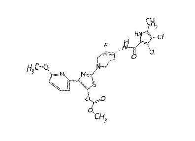 COC(=O)Oc1sc(N2CC[C@@H](NC(=O)c3[nH]c(C)c(Cl)c3Cl)[C@@H](F)C2)nc1-c1cccc(OC)n1